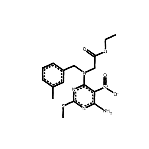 CCOC(=O)CN(Cc1cccc(C)c1)c1nc(SC)nc(N)c1[N+](=O)[O-]